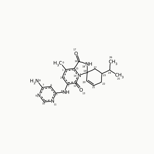 Cc1cc(Nc2cc(N)ncn2)c(=O)n2c1C(=O)NC21C=CCC(C(C)C)C1